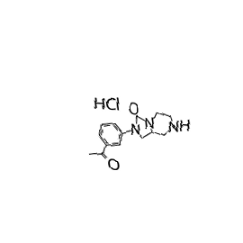 CC(=O)c1cccc(N2CC3CNCCN3C2=O)c1.Cl